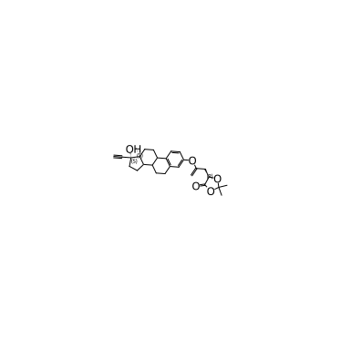 C#C[C@]1(O)CCC2C3CCc4cc(OC(=C)C[C@H]5OC(C)(C)OC5=O)ccc4C3CC[C@@]21C